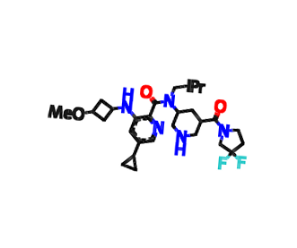 COC1CC(Nc2cc(C3CC3)cnc2C(=O)N(CC(C)C)C2CNCC(C(=O)N3CCC(F)(F)C3)C2)C1